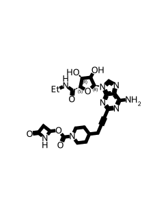 CCNC(=O)[C@H]1O[C@@H](n2cnc3c(N)nc(C#CCC4CCN(C(=O)OC5CC(=O)N5)CC4)nc32)C(O)[C@H]1O